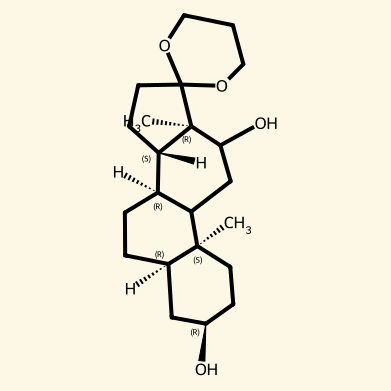 C[C@]12C(O)CC3[C@@H](CC[C@@H]4C[C@H](O)CC[C@]34C)[C@@H]1CCC21OCCCO1